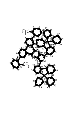 FC(F)(F)c1ccccc1-c1ccc2c3ccc(-c4ccccc4C(F)(F)F)cc3c3nc4c(-c5cccc6c5-c5ccccc5C6(c5ccccc5)c5ccccc5)sc(-c5cccc6c5-c5ccccc5C6(c5ccccc5)c5ccccc5)c4nc3c2c1